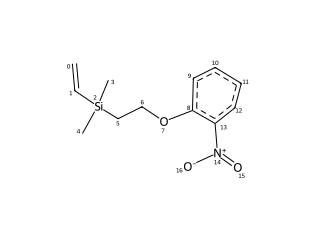 C=C[Si](C)(C)CCOc1ccccc1[N+](=O)[O-]